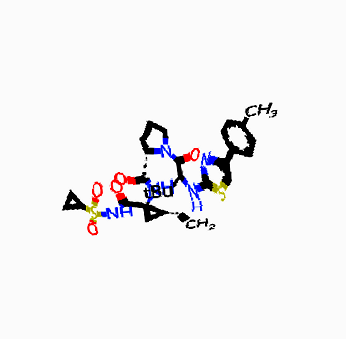 C=C[C@@H]1C[C@]1(NC(=O)[C@@H]1CCCN1C(=O)[C@@H](Nc1nc(-c2ccc(C)cc2)cs1)C(C)(C)C)C(=O)NS(=O)(=O)C1CC1